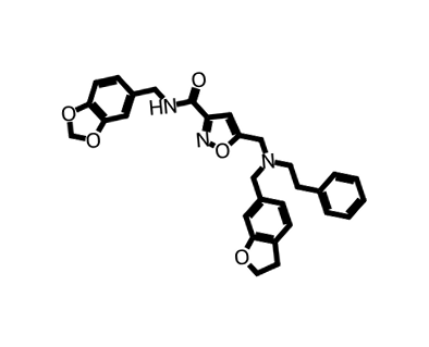 O=C(NCc1ccc2c(c1)OCO2)c1cc(CN(CCc2ccccc2)Cc2ccc3c(c2)OCC3)on1